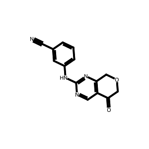 N#Cc1cccc(Nc2ncc3c(n2)COCC3=O)c1